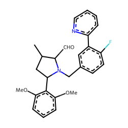 COc1cccc(OC)c1C1CC(C)C(C=O)N1Cc1ccc(F)c(-c2ccccn2)c1